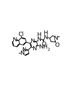 CN1CC(NC(=O)Nc2nc(-c3cc(Cl)c4ncccc4c3)c(-c3ccn(C)n3)nc2N)CC1=O